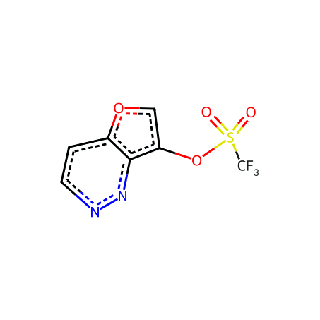 O=S(=O)(Oc1coc2ccnnc12)C(F)(F)F